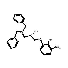 Nc1c(OC[C@@H](O)CN(Cc2ccccc2)Cc2ccccc2)cccc1[N+](=O)[O-]